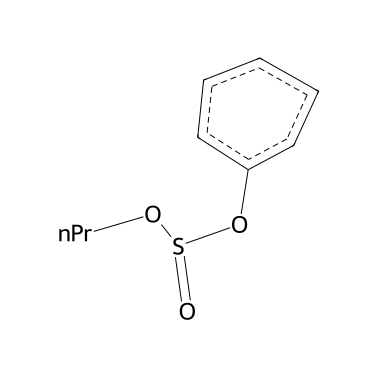 CCCOS(=O)Oc1ccccc1